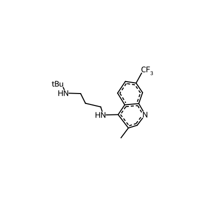 Cc1cnc2cc(C(F)(F)F)ccc2c1NCCCNC(C)(C)C